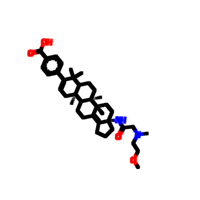 COCCN(C)CC(=O)N[C@]12CCCC1=C1CCC3[C@@]4(C)CC=C(c5ccc(C(=O)O)cc5)C(C)(C)C4CC[C@@]3(C)[C@]1(C)CC2